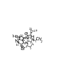 CCNC1CCCN(c2c(Br)cnc3[nH]cc(NC(=O)CC4CC4)c23)C1